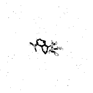 CN(C)c1cccc2c(S(=O)(=O)S(N)(=O)=O)cccc12